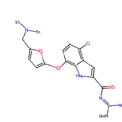 CCN(CC)Cc1ccc(Oc2ccc(Cl)c3cc(C(=O)N=C(N)NC)[nH]c23)o1